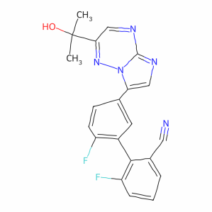 CC(C)(O)c1cnc2ncc(-c3ccc(F)c(-c4c(F)cccc4C#N)c3)n2n1